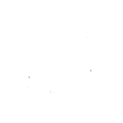 CN(c1cccc(Cl)c1)c1cc(NC2CC2)n2ncc(/C=C3/NC(=O)NC3=O)c2n1